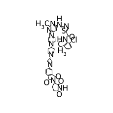 Cc1nc(Nc2ncc(C(=O)Nc3c(C)cccc3Cl)s2)cc(N2CCN(C3CCN(C4CN(c5ccc6c(c5)C(=O)N(C5CCC(=O)NC5=O)C6=O)C4)CC3)CC2)n1